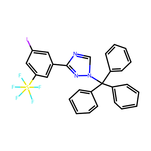 FS(F)(F)(F)(F)c1cc(I)cc(-c2ncn(C(c3ccccc3)(c3ccccc3)c3ccccc3)n2)c1